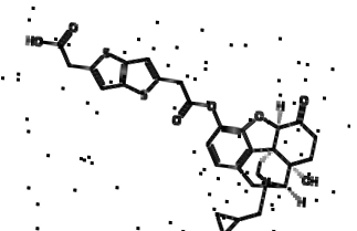 O=C(O)Cc1cc2sc(CC(=O)Oc3ccc4c5c3O[C@H]3C(=O)CC[C@@]6(O)[C@@H](C4)N(CC4CC4)CC[C@]536)cc2s1